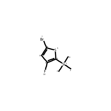 C[Si](C)(C)c1sc(Br)cc1F